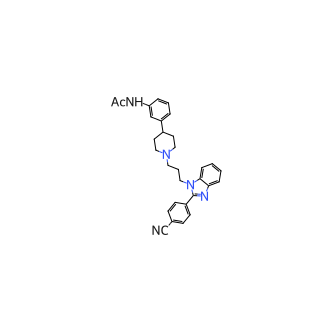 CC(=O)Nc1cccc(C2CCN(CCCn3c(-c4ccc(C#N)cc4)nc4ccccc43)CC2)c1